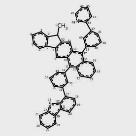 CC1c2ccccc2-c2cc3c(-c4cccc(-c5cccc6c5sc5ccccc56)c4)c4ccccc4c(-c4cccc(-c5ccccn5)c4)c3cc21